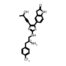 CC(O)C#Cc1nc(NC[C@@H](N)Cc2ccc(C(F)(F)F)cc2)sc1-c1ccc2c(c1)CC(=O)N2